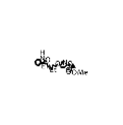 CCN(CCOc1ccc(S(=O)(=O)C2(C(=O)OC)CC2)nc1)CCC1(CC)C(=O)Nc2ccccc21